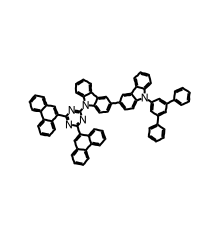 c1ccc(-c2cc(-c3ccccc3)cc(-n3c4ccccc4c4cc(-c5ccc6c(c5)c5ccccc5n6-c5nc(-c6cc7ccccc7c7ccccc67)nc(-c6cc7ccccc7c7ccccc67)n5)ccc43)c2)cc1